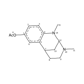 CC(=O)Oc1ccc2c(c1)C1CCN(C)C(C1)N2C